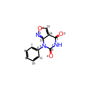 O=c1[nH]c(=O)n(-c2ccccc2)c2nocc12